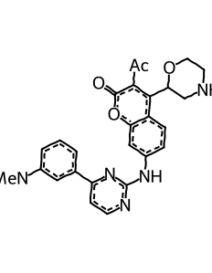 CNc1cccc(-c2ccnc(Nc3ccc4c(C5CNCCO5)c(C(C)=O)c(=O)oc4c3)n2)c1